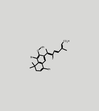 CCCOc1c(C(C)=C(F)C=CC(C)=CC(=O)O)cc2c(c1Br)C(C)(C)CC=C2C(C)C